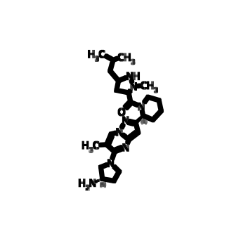 Cc1cn2nc([C@@H]3CCCCN3C(=O)C3CC(CC(C)C)NN3C)cc2nc1N1CC[C@H](N)C1